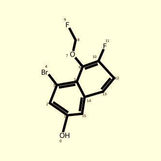 Oc1cc(Br)c2c(OCF)c(F)ccc2c1